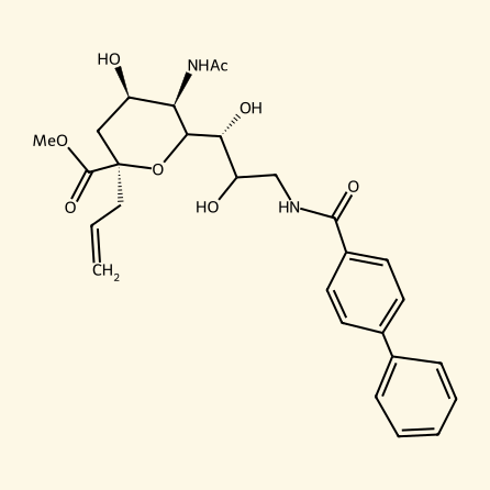 C=CC[C@]1(C(=O)OC)C[C@@H](O)[C@@H](NC(C)=O)C([C@H](O)C(O)CNC(=O)c2ccc(-c3ccccc3)cc2)O1